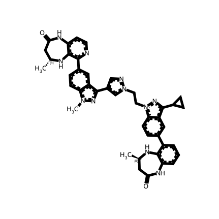 C[C@@H]1CC(=O)Nc2cccc(-c3ccc4c(c3)c(C3CC3)nn4CCn3cc(-c4nn(C)c5ccc(-c6nccc7c6N[C@H](C)CC(=O)N7)cc45)cn3)c2N1